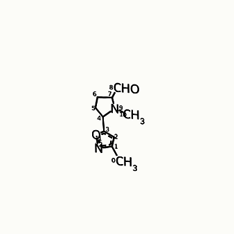 Cc1cc(C2CCC(C=O)N2C)on1